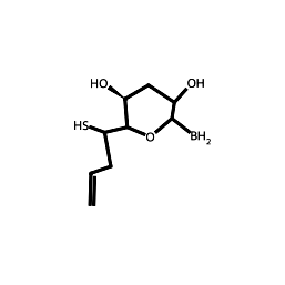 BC1OC(C(S)CC=C)[C@@H](O)CC1O